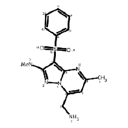 CNc1nn2c(CN)cc(C)nc2c1S(=O)(=O)c1ccccc1